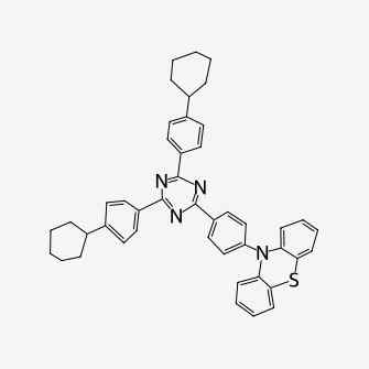 c1ccc2c(c1)Sc1ccccc1N2c1ccc(-c2nc(-c3ccc(C4CCCCC4)cc3)nc(-c3ccc(C4CCCCC4)cc3)n2)cc1